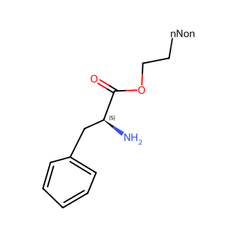 CCCCCCCCCCCOC(=O)[C@@H](N)Cc1ccccc1